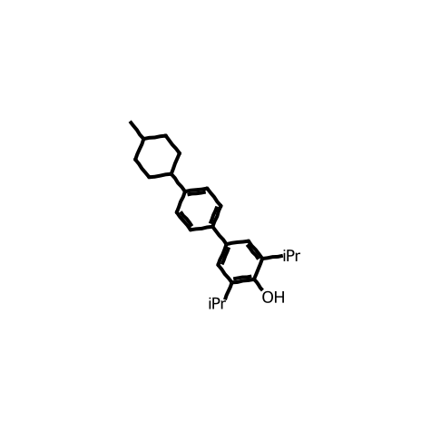 CC1CCC(c2ccc(-c3cc(C(C)C)c(O)c(C(C)C)c3)cc2)CC1